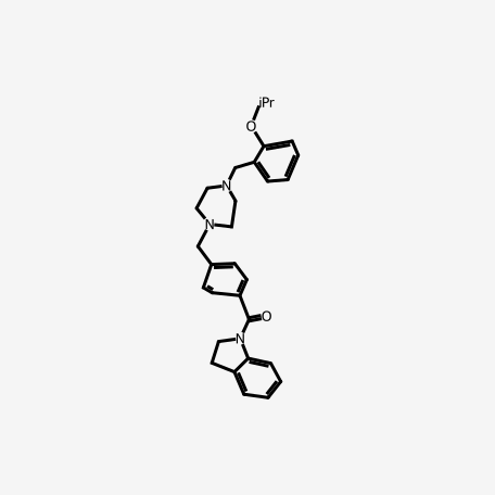 CC(C)Oc1ccccc1CN1CCN(Cc2ccc(C(=O)N3CCc4ccccc43)cc2)CC1